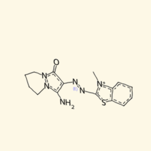 C[n+]1c(/N=N/c2c(N)n3n(c2=O)CCCC3)sc2ccccc21